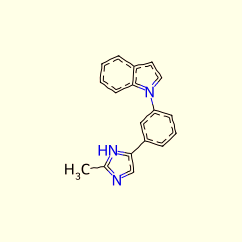 Cc1ncc(-c2cccc(-n3ccc4ccccc43)c2)[nH]1